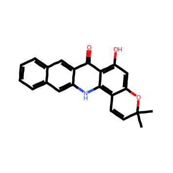 CC1(C)C=Cc2c(cc(O)c3c(=O)c4cc5ccccc5cc4[nH]c23)O1